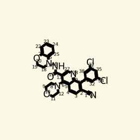 N#Cc1ccc2c(N3CCOCC3)c(C(=O)NN3CCOc4ccccc43)cnc2c1-c1cc(Cl)cc(Cl)c1